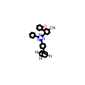 N#Cc1ccc(-c2nc(-c3ccccc3)nc(-c3ccc(C45C[C@H]6C[C@H](C4)C[C@@H](C5)C6)cc3)n2)c2c1oc1ccccc12